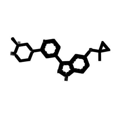 C[C@H]1CN(c2cc(-c3n[nH]c4ccc(OC5(C)CC5)cc34)ccn2)CCN1